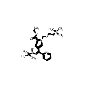 CCOC(=O)c1cc(C(=N[S+]([O-])C(C)(C)C)c2ccccn2)cn1COCC[Si](C)(C)C